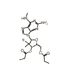 CCC(=O)OCC1OC(n2cnc3c(NC)nc(N)nc32)C(C)(F)C1OC(=O)CC